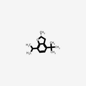 CC(C)c1ccc(C(C)(C)C)c2c1O[C@H](C)C2